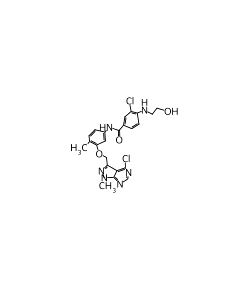 Cc1ccc(NC(=O)c2ccc(NCCO)c(Cl)c2)cc1OCc1nn(C)c2ncnc(Cl)c12